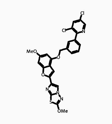 COc1cc(OCc2cccc(-c3ncc(Cl)cc3Cl)c2)c2cc(-c3cn4nc(OC)sc4n3)oc2c1